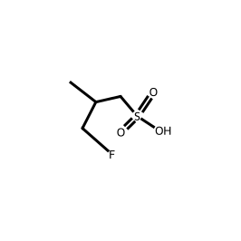 CC(CF)CS(=O)(=O)O